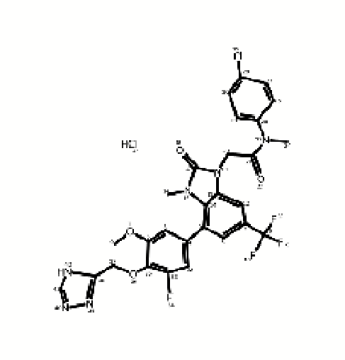 COc1cc(-c2cc(C(F)(F)F)cc3c2n(C)c(=O)n3CC(=O)N(C)c2ccc(Cl)cc2)cc(F)c1OCc1nnc[nH]1.Cl